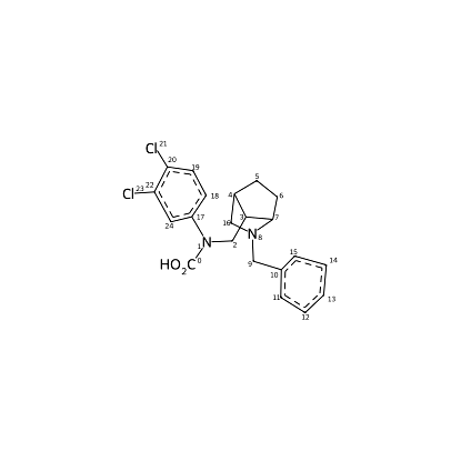 O=C(O)N(CC1C2CCC1N(Cc1ccccc1)C2)c1ccc(Cl)c(Cl)c1